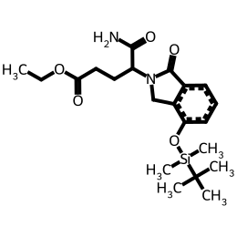 CCOC(=O)CCC(C(N)=O)N1Cc2c(O[Si](C)(C)C(C)(C)C)cccc2C1=O